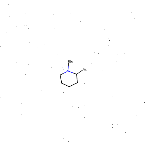 CC(=O)C1CCCCN1C(C)(C)C